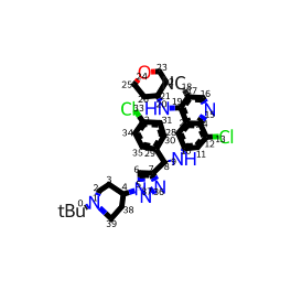 CC(C)(C)N1CCC(n2cc([C@@H](Nc3cc(Cl)c4ncc(C#N)c(NC5CCOCC5)c4c3)c3ccc(Cl)cc3)nn2)CC1